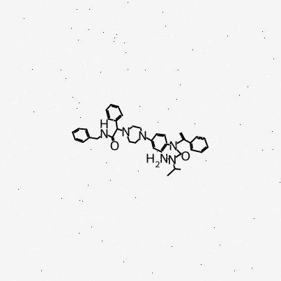 C=C(c1ccccc1)N(C(=O)N(N)C(C)C)c1ccc(N2CCN(C(C(=O)NCc3ccccc3)c3ccccc3)CC2)cc1